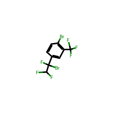 FC(F)C(F)(Br)c1ccc(Br)c(C(F)(F)F)c1